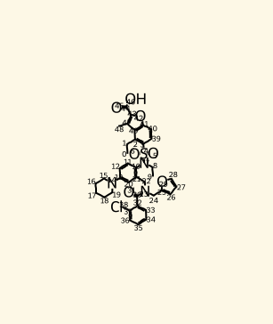 CCc1c(S(=O)(=O)N(CC)c2ccc(N3CCCCC3)cc2CN(Cc2ccco2)C(=O)c2ccccc2Cl)ccc2oc(C(=O)O)c(C)c12